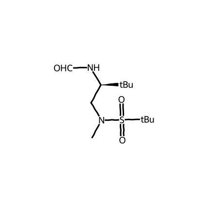 CN(C[C@@H](NC=O)C(C)(C)C)S(=O)(=O)C(C)(C)C